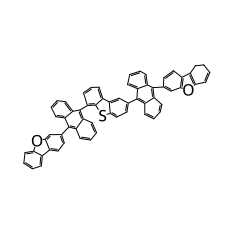 C1=Cc2oc3cc(-c4c5ccccc5c(-c5ccc6sc7c(-c8c9ccccc9c(-c9ccc%10c(c9)oc9ccccc9%10)c9ccccc89)cccc7c6c5)c5ccccc45)ccc3c2CC1